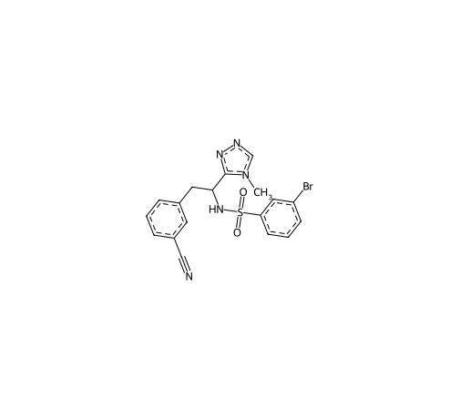 Cn1cnnc1C(Cc1cccc(C#N)c1)NS(=O)(=O)c1cccc(Br)c1